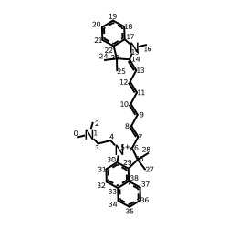 CN(C)CC[N+]1=C(/C=C/C=C/C=C/C=C2/N(C)c3ccccc3C2(C)C)C(C)(C)c2c1ccc1ccccc21